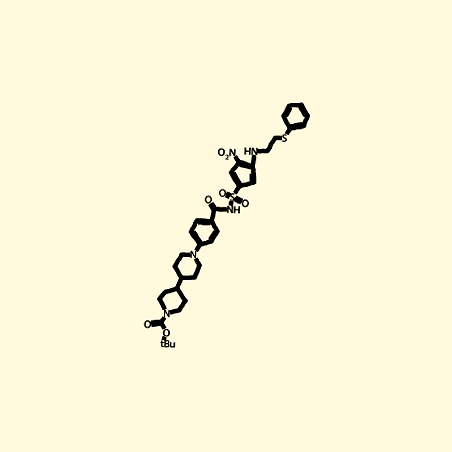 CC(C)(C)OC(=O)N1CCC(C2CCN(c3ccc(C(=O)NS(=O)(=O)c4ccc(NCCSc5ccccc5)c([N+](=O)[O-])c4)cc3)CC2)CC1